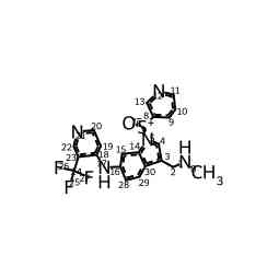 CNCc1cn([S+]([O-])c2cccnc2)c2cc(Nc3ccncc3C(F)(F)F)ccc12